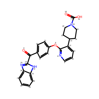 O=C(c1ccc(Oc2ncccc2C2CCN(C(=O)O)CC2)cc1)c1nc2ccccc2[nH]1